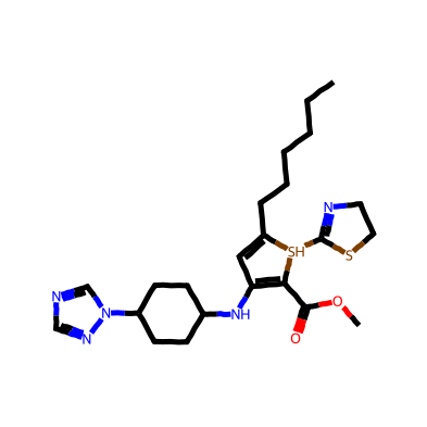 CCCCCCC1=CC(NC2CCC(n3cncn3)CC2)=C(C(=O)OC)[SH]1C1=NCCS1